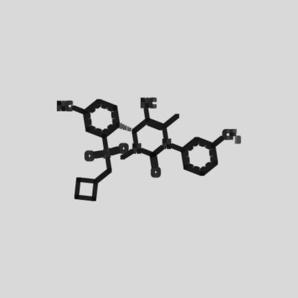 [C-]#[N+]C1=C(C)N(c2cccc(C(F)(F)F)c2)C(=O)N(C)[C@@H]1c1ccc(C#N)cc1S(=O)(=O)CC1CCC1